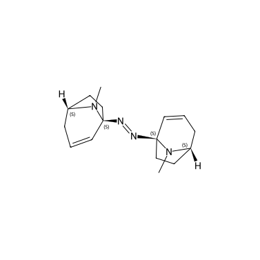 CN1[C@@H]2CC=C[C@@]1(N=N[C@]13C=CC[C@H](CC1)N3C)CC2